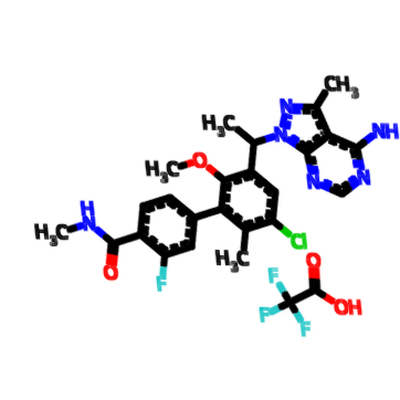 CNC(=O)c1ccc(-c2c(C)c(Cl)cc(C(C)n3nc(C)c4c(N)ncnc43)c2OC)cc1F.O=C(O)C(F)(F)F